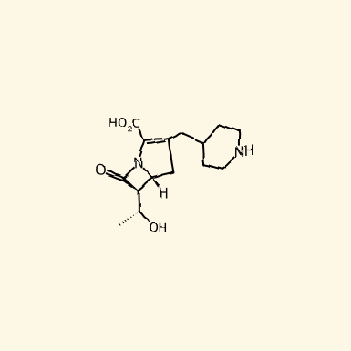 C[C@@H](O)[C@H]1C(=O)N2C(C(=O)O)=C(CC3CCNCC3)C[C@H]12